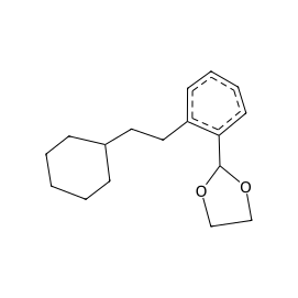 c1ccc(C2OCCO2)c(CCC2CCCCC2)c1